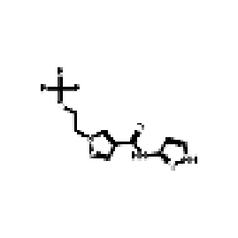 O=C(Nc1cc[nH]n1)c1cnn(CCOC(F)(F)F)c1